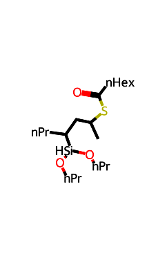 CCCCCCC(=O)SC(C)CC(CCC)[SiH](OCCC)OCCC